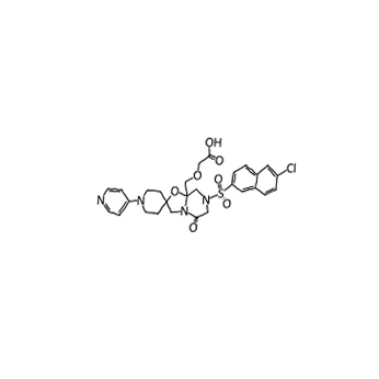 O=C(O)COCC12CN(S(=O)(=O)c3ccc4cc(Cl)ccc4c3)CC(=O)N1CC1(CCN(c3ccncc3)CC1)O2